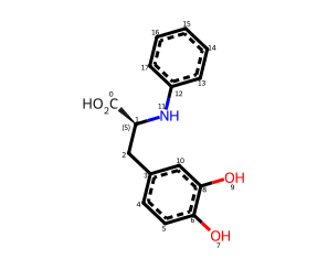 O=C(O)[C@H](Cc1ccc(O)c(O)c1)Nc1ccccc1